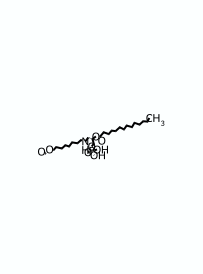 CCCCCCCCCCCCCC(=O)O[C@@H](CNCCCCCCCCOC=O)COP(=O)(O)O